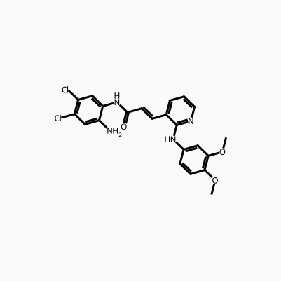 COc1ccc(Nc2ncccc2/C=C/C(=O)Nc2cc(Cl)c(Cl)cc2N)cc1OC